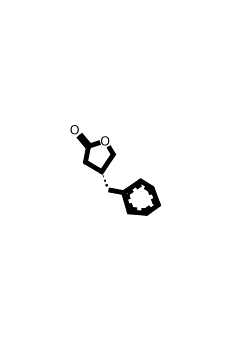 O=C1C[C@@H](Cc2ccccc2)CO1